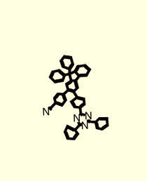 N#Cc1ccc(-c2cc3c(cc2-c2ccc(-c4nc(-c5ccccc5)nc(-c5ccccc5)n4)cc2)-c2ccccc2C3(c2ccccc2)c2ccccc2)cc1